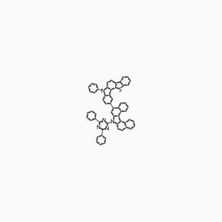 c1ccc(-c2nc(-c3ccccc3)nc(-n3c4ccc5ccccc5c4c4c5ccccc5c(-c5ccc6c(c5)c5c7sc8ccccc8c7ccc5n6-c5ccccc5)cc43)n2)cc1